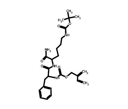 C=CC(=C)COC(=O)NC(Cc1ccccc1)C(=O)NC(CCCCNC(=O)OC(C)(C)C)C(N)=O